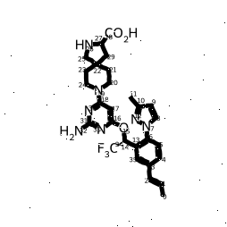 CC=Cc1ccc(-n2ccc(C)n2)c([C@@H](Oc2cc(N3CCC4(CC3)CNC(C(=O)O)C4)nc(N)n2)C(F)(F)F)c1